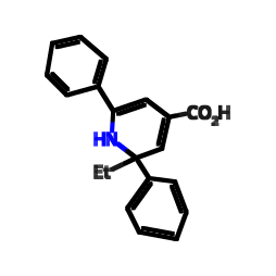 CCC1(c2ccccc2)C=C(C(=O)O)C=C(c2ccccc2)N1